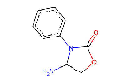 NC1COC(=O)N1c1ccccc1